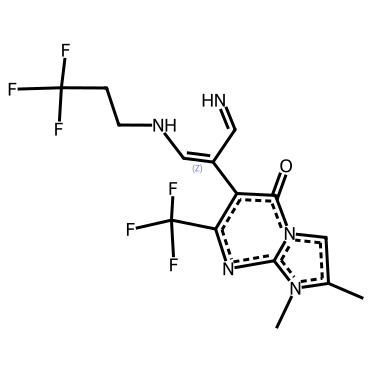 Cc1cn2c(=O)c(/C(C=N)=C/NCCC(F)(F)F)c(C(F)(F)F)nc2n1C